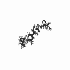 COC(C)C(=O)NNc1cnc(-c2cnc(OC3(C(F)(F)F)CCC3)c(F)c2)cn1